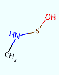 CNSO